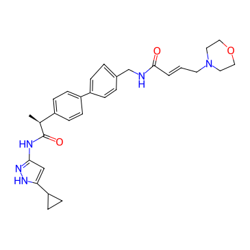 C[C@H](C(=O)Nc1cc(C2CC2)[nH]n1)c1ccc(-c2ccc(CNC(=O)/C=C/CN3CCOCC3)cc2)cc1